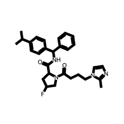 Cc1nccn1CCCC(=O)N1CC(F)CC1C(=O)NC(c1ccccc1)c1ccc(C(C)C)cc1